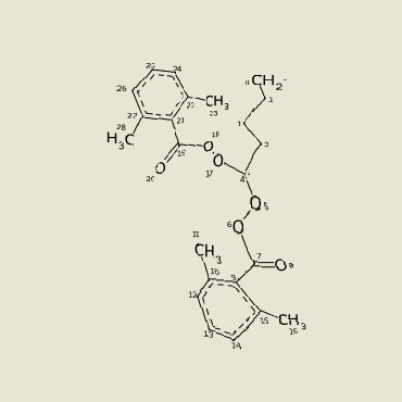 [CH2]CCC[C](OOC(=O)c1c(C)cccc1C)OOC(=O)c1c(C)cccc1C